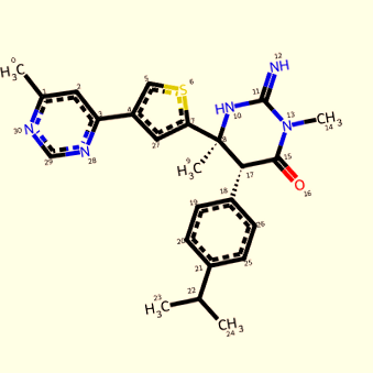 Cc1cc(-c2csc([C@@]3(C)NC(=N)N(C)C(=O)[C@@H]3c3ccc(C(C)C)cc3)c2)ncn1